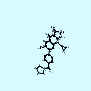 O=C(c1ccc(-c2cc3c(cc2F)c(=O)c2c(=O)[nH]sc2n3C2CC2)cc1)N1CCCC1